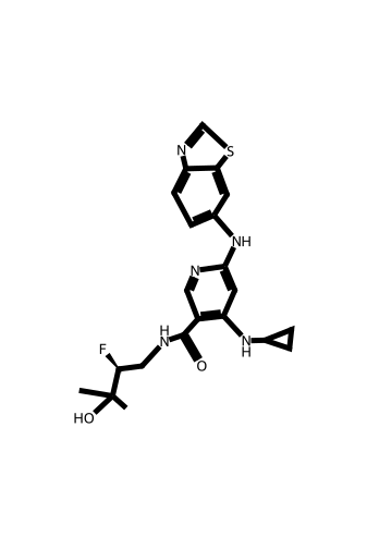 CC(C)(O)[C@@H](F)CNC(=O)c1cnc(Nc2ccc3ncsc3c2)cc1NC1CC1